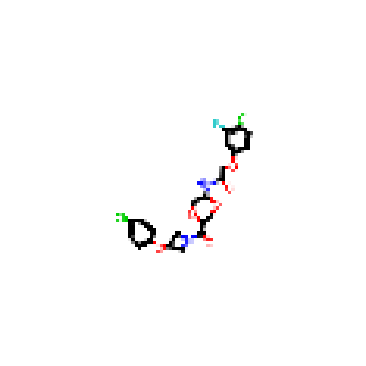 O=C(COc1ccc(Cl)c(F)c1)NC1COC(C(=O)N2CC(Oc3ccc(Cl)cc3)C2)CO1